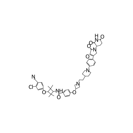 CC1(C)C(NC(=O)c2ccc(OC3CN(CCC4CCN(c5ccc6c7c(oc6c5)C(=O)N(C5CCC(=O)NC5=O)C7)CC4)C3)cc2)C(C)(C)C1Oc1ccc(C#N)c(Cl)c1